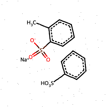 Cc1ccccc1S(=O)(=O)[O-].O=S(=O)(O)c1ccccc1.[Na+]